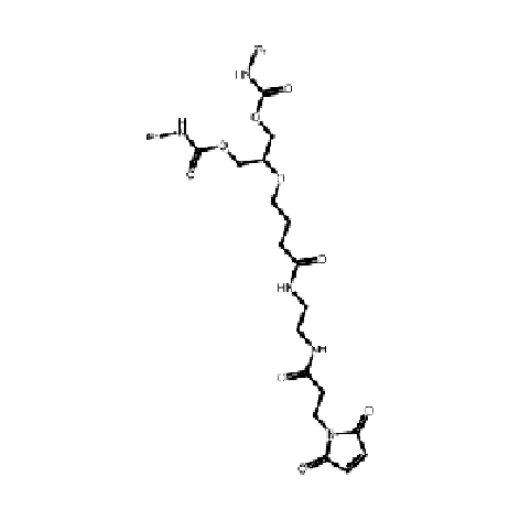 CC(C)NC(=O)OCC(COC(=O)NC(C)C)OCCCC(=O)NCCNC(=O)CCN1C(=O)C=CC1=O